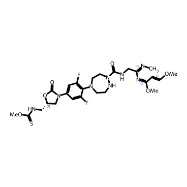 C\N=C(CNC(=O)N1CCN(c2c(F)cc(N3C[C@H](CNC(=S)OC)OC3=O)cc2F)CCN1)/N=C(\C=C\OC)OC